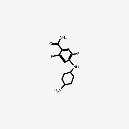 NC(=O)c1cc(F)c(NC2CCC(N)CC2)cc1F